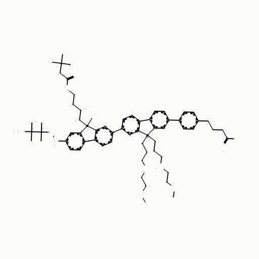 COCCOCCCC1(CCCOCCOC)c2cc(-c3ccc(CCCC(=O)O)cc3)ccc2-c2ccc(-c3ccc4c(c3)C(C)(CCCCNC(=O)CC(C)(C)C)c3cc(BOC(C)(C)C(C)(C)O)ccc3-4)cc21